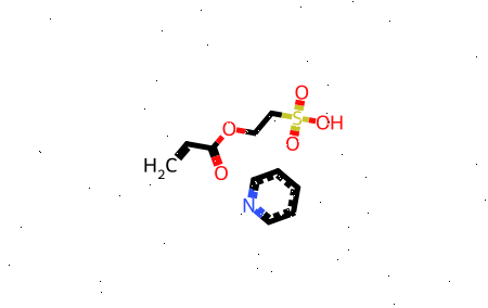 C=CC(=O)OCCS(=O)(=O)O.c1ccncc1